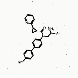 CCCc1ccc(-c2ccc(N(CC(N)CCC)C(=O)[C@@H]3CC3c3ccccn3)cc2)cc1